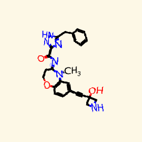 CN1/C(=N/C(=O)c2n[nH]c(Cc3ccccc3)n2)CCOc2ccc(C#CC3(O)CNC3)cc21